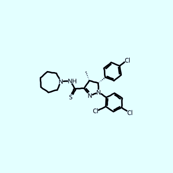 C[C@H]1C(C(=S)NN2CCCCCC2)=NN(c2ccc(Cl)cc2Cl)[C@H]1c1ccc(Cl)cc1